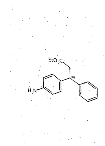 CCOC(=O)C[C@H](c1ccccc1)c1ccc(N)cc1